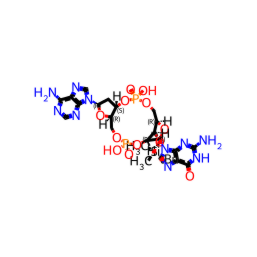 CC(C)(C)[Si](C)(C)O[C@H]1[C@H]2OP(=O)(O)OC[C@H]3O[C@@H](n4cnc5c(N)ncnc54)C[C@@H]3OP(=O)(O)OC[C@H]1O[C@H]2n1cnc2c(=O)[nH]c(N)nc21